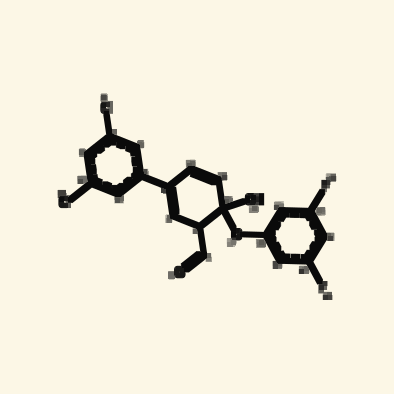 O=CC1C=C(c2cc(Cl)cc(Cl)c2)C=CC1(O)Oc1cc(F)cc(F)c1